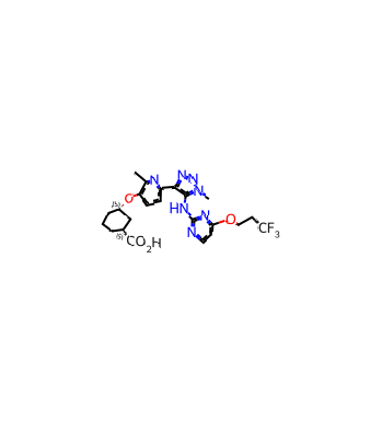 Cc1nc(-c2nnn(C)c2Nc2nccc(OCCC(F)(F)F)n2)ccc1O[C@H]1CCC[C@H](C(=O)O)C1